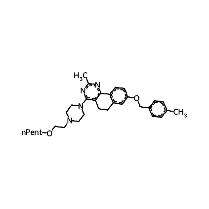 CCCCCOCCN1CCN(c2nc(C)nc3c2CCc2cc(OCc4ccc(C)cc4)ccc2-3)CC1